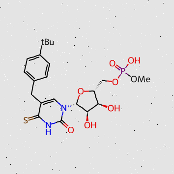 COP(=O)(O)OC[C@H]1O[C@@H](n2cc(Cc3ccc(C(C)(C)C)cc3)c(=S)[nH]c2=O)[C@H](O)[C@@H]1O